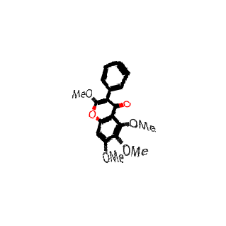 COc1cc2oc(OC)c(-c3ccccc3)c(=O)c2c(OC)c1OC